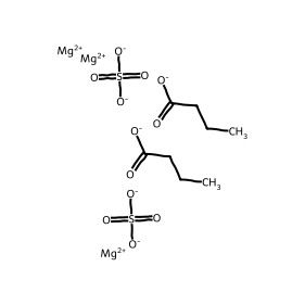 CCCC(=O)[O-].CCCC(=O)[O-].O=S(=O)([O-])[O-].O=S(=O)([O-])[O-].[Mg+2].[Mg+2].[Mg+2]